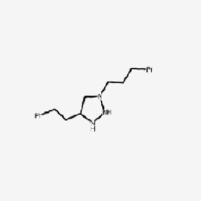 CC(C)CCCN1CC(CCC(C)C)NN1